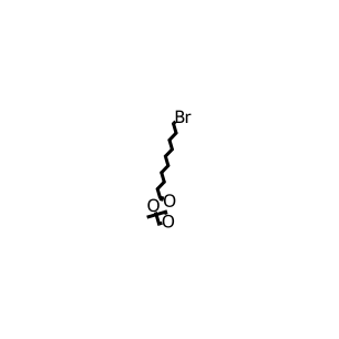 CC1(OC(=O)CCCCCCCCCBr)COC1